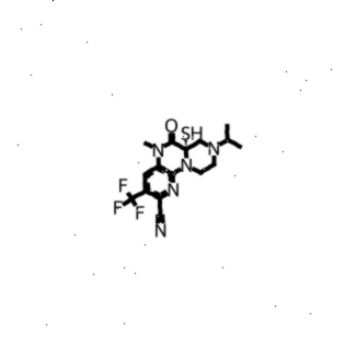 CC(C)N1CCN2c3nc(C#N)c(C(F)(F)F)cc3N(C)C(=O)[C@@]2(S)C1